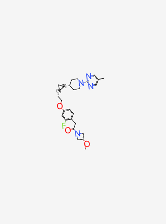 COC1CN(C(=O)Cc2ccc(OCC[C@@H]3C[C@@H]3C3CCN(c4ncc(C)cn4)CC3)cc2F)C1